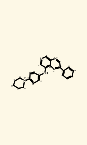 c1ccc(-c2cnc3cncc(Nc4ccc(N5CCCCC5)cc4)c3n2)cc1